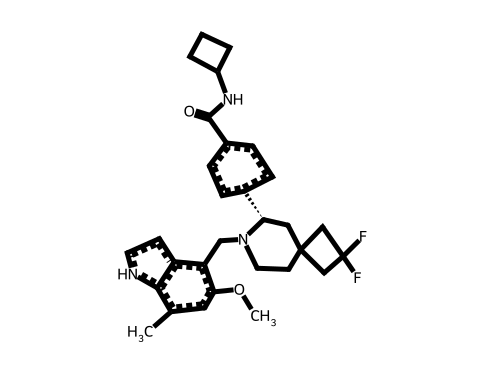 COc1cc(C)c2[nH]ccc2c1CN1CCC2(C[C@H]1c1ccc(C(=O)NC3CCC3)cc1)CC(F)(F)C2